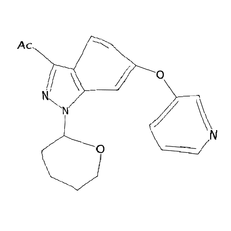 CC(=O)c1nn(C2CCCCO2)c2cc(Oc3cccnc3)ccc12